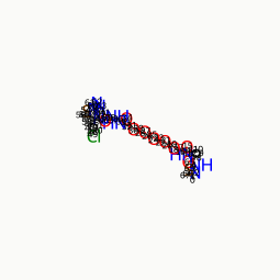 Cc1nc(NC(=O)c2ccccc2NC(=O)CCOCCOCCOCCOCCOCCC(=O)NCCNC(=O)C[C@@H]2N=C(c3ccc(Cl)cc3)c3c(sc(C)c3C)-n3c(C)nnc32)sc1C